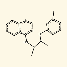 Cc1cccc(OC(C)C(C)Nc2ncnc3ccccc23)c1